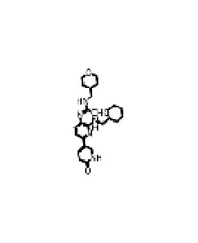 O=C/C(=N\c1ccc(C2=CCC(=O)NC2)nc1NCC1CCCCC1)NCC1CCOCC1